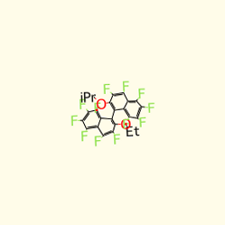 CCOc1c(F)c(F)c2c(F)c(F)c(F)c(F)c2c1-c1c(OC(C)C)c(F)c(F)c2c(F)c(F)c(F)c(F)c12